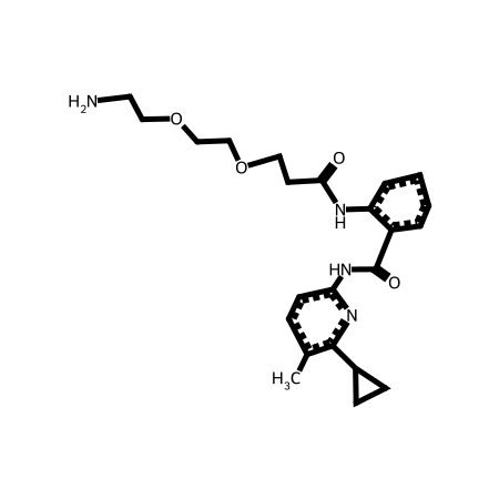 Cc1ccc(NC(=O)c2ccccc2NC(=O)CCOCCOCCN)nc1C1CC1